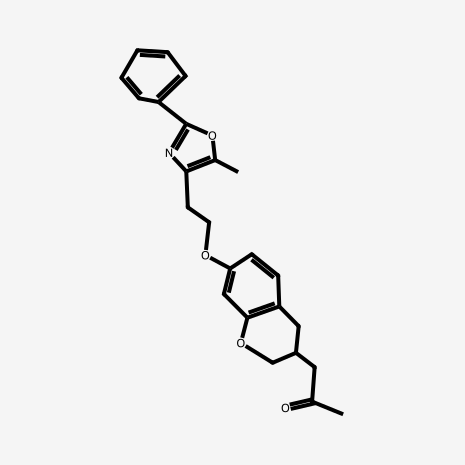 CC(=O)CC1COc2cc(OCCc3nc(-c4ccccc4)oc3C)ccc2C1